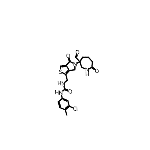 Cc1ccc(NC(=O)NCc2scc3c2CN(C2(C=O)CCCC(=O)NC2)C3=O)cc1Cl